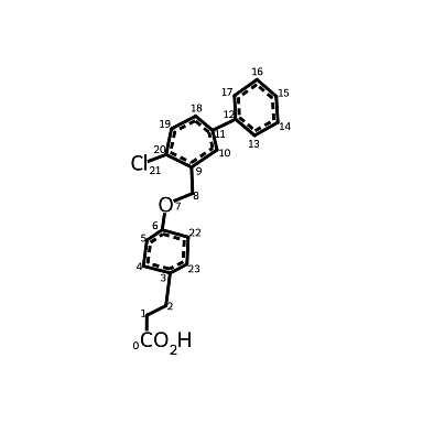 O=C(O)CCc1ccc(OCc2cc(-c3ccccc3)ccc2Cl)cc1